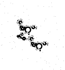 CC(C)(C)C(O)(CCc1ccc(Cl)cc1)Cn1cncn1.CC[C@H]1CCC[C@H](O[C@H]2CC[C@H](N(C)C)[C@@H](C)O2)[C@@H](C)C(=O)C2=C[C@@H]3[C@@H](C=C(C)[C@@H]4C[C@@H](O[C@@H]5O[C@@H](C)[C@H](OC)[C@@H](OC)[C@H]5OC)C[C@@H]34)[C@@H]2CC(=O)O1.CC[C@H]1CCC[C@H](O[C@H]2CC[C@H](N(C)C)[C@@H](C)O2)[C@@H](C)C(=O)C2=C[C@@H]3[C@@H](C=C[C@@H]4C[C@@H](O[C@@H]5O[C@@H](C)[C@H](OC)[C@@H](OC)[C@H]5OC)C[C@@H]34)[C@@H]2CC(=O)O1